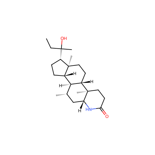 CCC(C)(O)[C@H]1CC[C@H]2[C@@H]3[C@@H](C)C[C@H]4NC(=O)CC[C@]4(C)[C@H]3CC[C@]12C